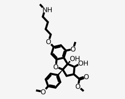 CNCCCCOc1cc(OC)c2c(c1)O[C@@]1(c3ccc(OC)cc3)CC(C(=O)OC)C(O)[C@@]21O